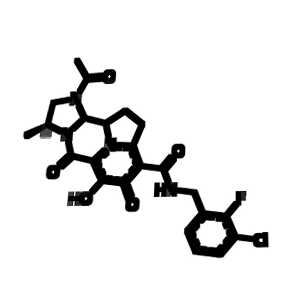 CC(=O)N1C[C@H](C)N2C(=O)c3c(O)c(=O)c(C(=O)NCc4cccc(Cl)c4F)c4n3C(CC4)C12